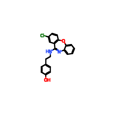 Oc1ccc(CCNC2=Nc3ccccc3Oc3ccc(Cl)cc32)cc1